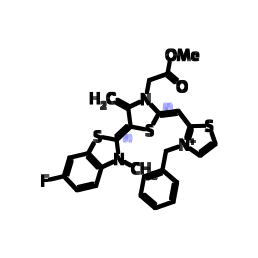 C=C1/C(=C2\Sc3cc(F)ccc3N2C)S/C(=C\c2scc[n+]2Cc2ccccc2)N1CC(=O)OC